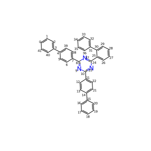 c1ccc(-c2ccc(-c3nc(-c4ccc(-c5ccccc5)cc4)nc(-c4ccccc4-c4ccccc4)n3)cc2)cc1